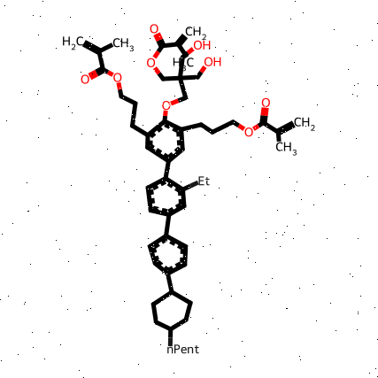 C=C(C)C(=O)OCCCc1cc(-c2ccc(-c3ccc(C4CCC(CCCCC)CC4)cc3)cc2CC)cc(CCCOC(=O)C(=C)C)c1OCC(CO)(CO)COC(=O)C(=C)C